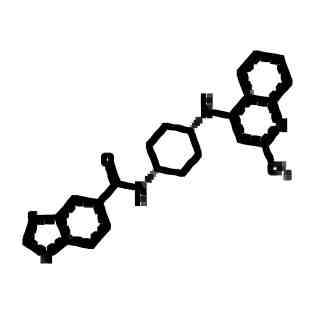 O=C(N[C@H]1CC[C@@H](Nc2cc(C(F)(F)F)nc3ccccc23)CC1)c1ccc2ncsc2c1